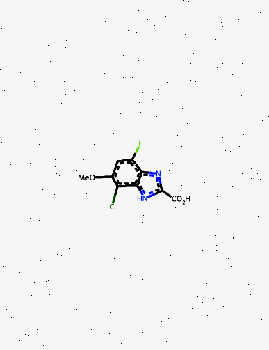 COc1cc(F)c2nc(C(=O)O)[nH]c2c1Cl